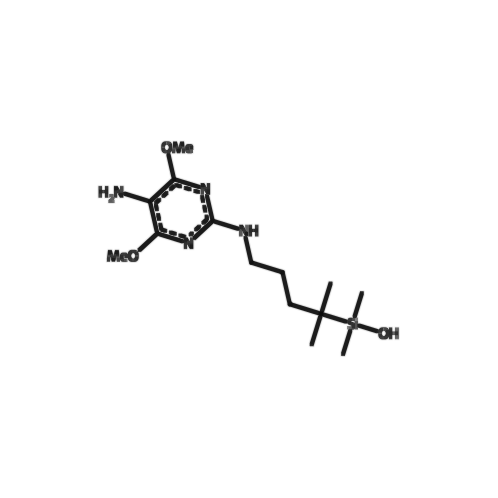 COc1nc(NCCCC(C)(C)[Si](C)(C)O)nc(OC)c1N